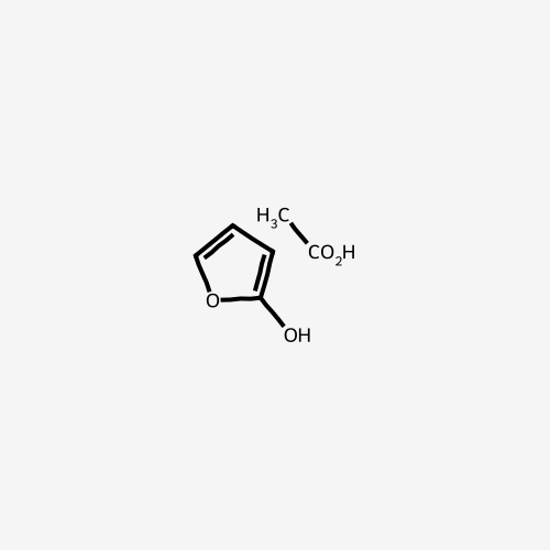 CC(=O)O.Oc1ccco1